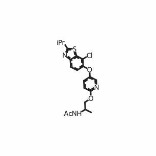 CC(=O)NC(C)COc1ccc(Oc2ccc3nc(C(C)C)sc3c2Cl)cn1